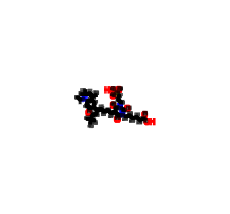 CCN1c2cc3c(cc2C(C)=CC1(C)C)C(=CC=CC=C1C(=O)N(CCCCCC(=O)O)C(=O)N(CCCS(=O)(=O)O)C1=O)C=C(C(C)(C)C)O3